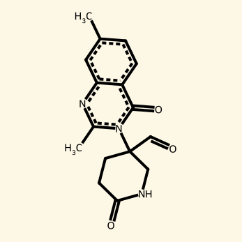 Cc1ccc2c(=O)n(C3(C=O)CCC(=O)NC3)c(C)nc2c1